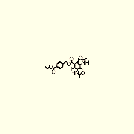 CCOC(=O)c1ccc(COC(=O)c2c(I)c(NC(C)=O)c(I)c(NC(C)=O)c2I)cc1